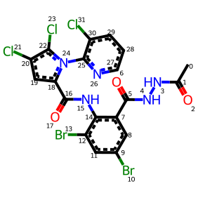 CC(=O)NNC(=O)c1cc(Br)cc(Br)c1NC(=O)c1cc(Cl)c(Cl)n1-c1ncccc1Cl